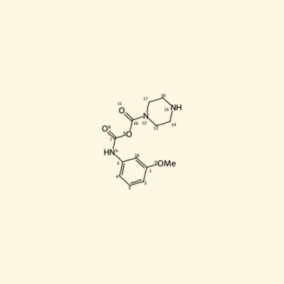 COc1cccc(NC(=O)OC(=O)N2CCNCC2)c1